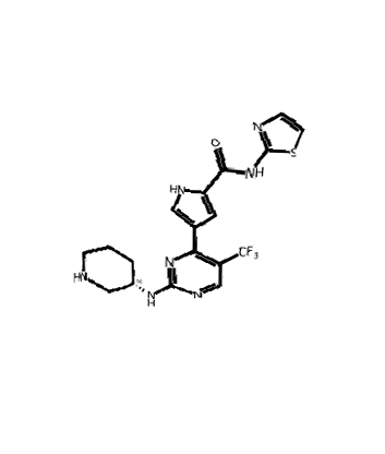 O=C(Nc1nccs1)c1cc(-c2nc(N[C@H]3CCCNC3)ncc2C(F)(F)F)c[nH]1